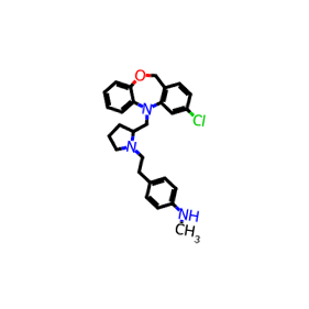 CNc1ccc(CCN2CCCC2CN2c3cc(Cl)ccc3COc3ccccc32)cc1